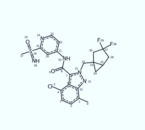 Cc1ccc(Cl)c2c(C(=O)Nc3ccnc(S(C)(=N)=O)c3)n(CC34CC3CC(F)(F)C4)nc12